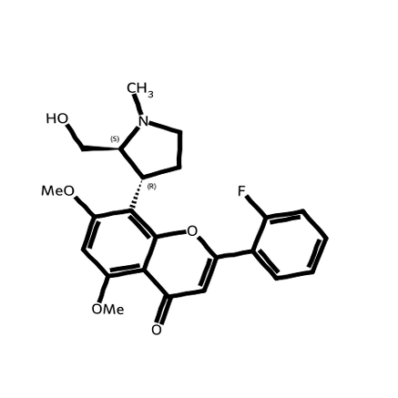 COc1cc(OC)c2c(=O)cc(-c3ccccc3F)oc2c1[C@H]1CCN(C)[C@@H]1CO